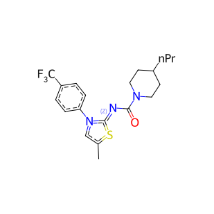 CCCC1CCN(C(=O)/N=c2\sc(C)cn2-c2ccc(C(F)(F)F)cc2)CC1